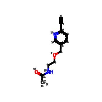 C#Cc1ccc(COCCNC(=O)C(F)(F)F)cn1